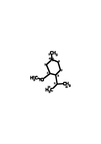 COC1CN(C)CCC1C(C)C